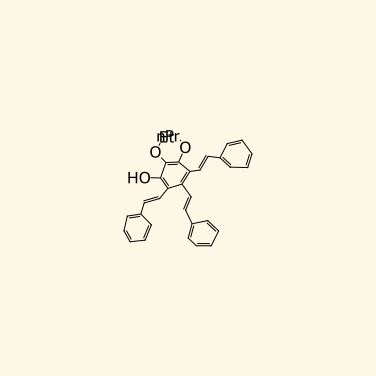 CCCOc1c(/C=C/c2ccccc2)c(/C=C/c2ccccc2)c(/C=C/c2ccccc2)c(O)c1OCC